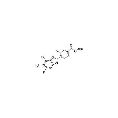 C[C@H]1CN(C(=O)OC(C)(C)C)CCN1c1nc2cc(F)c(C(F)(F)F)c(Br)c2o1